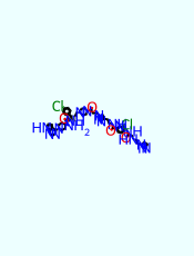 NC1(C(=O)N[C@@H](CCN2CCN(C(=O)CCn3cc(CCNC(=O)c4ccc(NC(=O)CNCCn5ccnn5)c(Cl)n4)nn3)CC2)c2ccc(Cl)cc2)CCN(c2ncnc3[nH]ccc23)CC1